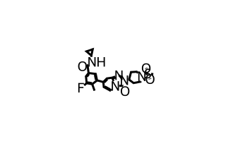 Cc1c(F)cc(C(=O)NC2CC2)cc1-c1ccn2c(=O)n(C3CCN(S(C)(=O)=O)CC3)nc2c1